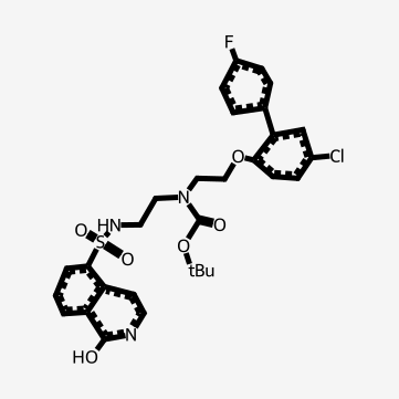 CC(C)(C)OC(=O)N(CCNS(=O)(=O)c1cccc2c(O)nccc12)CCOc1ccc(Cl)cc1-c1ccc(F)cc1